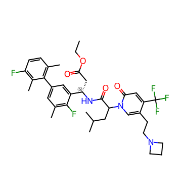 CCOC(=O)C[C@H](NC(=O)C(CC(C)C)n1cc(CCN2CCC2)c(C(F)(F)F)cc1=O)c1cc(-c2c(C)ccc(F)c2C)cc(C)c1F